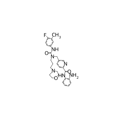 Cc1cc(NC(=O)N(CCCN2CCOCC2)Cc2ccc(C(=O)Nc3ccccc3N)nc2)ccc1F